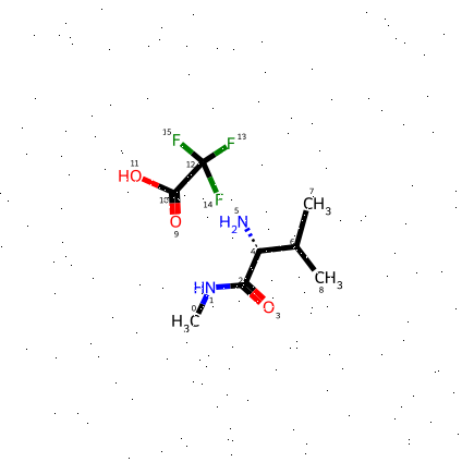 CNC(=O)[C@H](N)C(C)C.O=C(O)C(F)(F)F